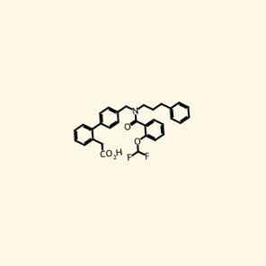 O=C(O)Cc1ccccc1-c1ccc(CN(CCCc2ccccc2)C(=O)c2ccccc2OC(F)F)cc1